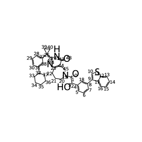 O=C(C(O)c1cccc(-c2csc3ccccc23)c1)N1CCCc2nc(C3(c4cccc(C5CCCCC5)c4)CC3)[nH]c(=O)c2C1